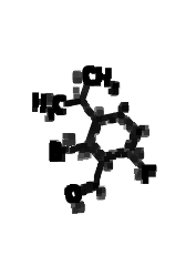 CC(C)c1ccc(F)c(C=O)c1Br